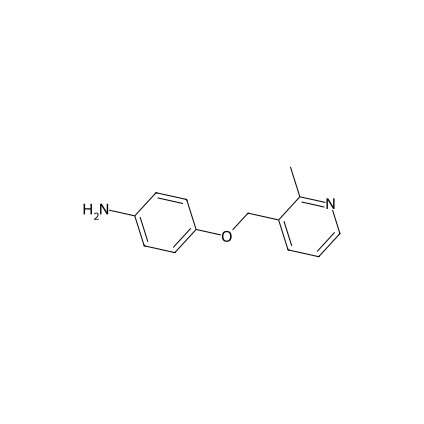 Cc1ncccc1COc1ccc(N)cc1